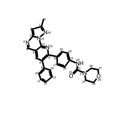 Cc1cc2ncc3cc(-c4ccccc4)c(-c4ccc(NC(=O)N5CCOCC5)cc4)nc3n2n1